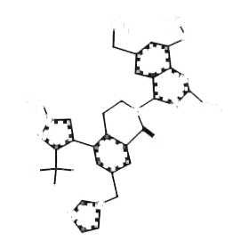 CCc1cc(OC)c2nc(C)nc(N3CCc4c(cc(Cn5ccnc5)cc4-c4cn(C)nc4C(F)(F)F)C3=O)c2c1